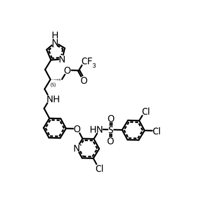 O=C(OC[C@H](CNCc1cccc(Oc2ncc(Cl)cc2NS(=O)(=O)c2ccc(Cl)c(Cl)c2)c1)Cc1c[nH]cn1)C(F)(F)F